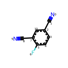 N#Cc1ccc(F)c(C#N)c1